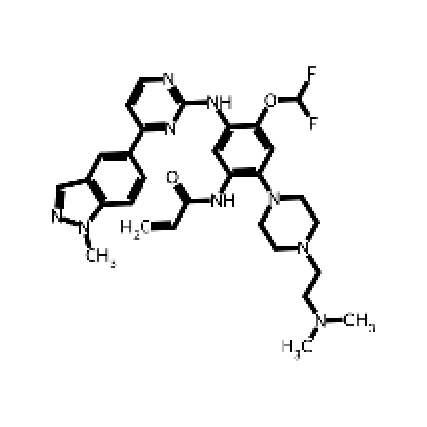 C=CC(=O)Nc1cc(Nc2nccc(-c3ccc4c(cnn4C)c3)n2)c(OC(F)F)cc1N1CCN(CCN(C)C)CC1